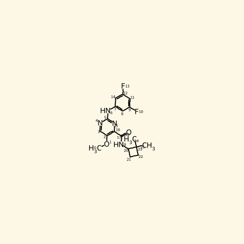 COc1cnc(Nc2cc(F)cc(F)c2)nc1C(=O)NC1CCC1(C)C